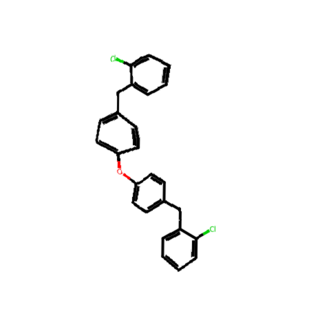 Clc1ccccc1Cc1ccc(Oc2ccc(Cc3ccccc3Cl)cc2)cc1